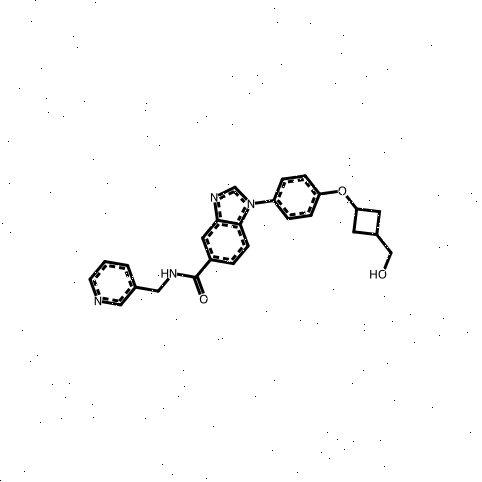 O=C(NCc1cccnc1)c1ccc2c(c1)ncn2-c1ccc(OC2CC(CO)C2)cc1